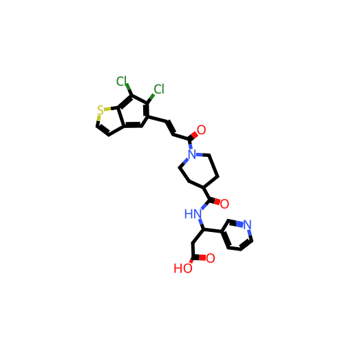 O=C(O)CC(NC(=O)C1CCN(C(=O)C=Cc2cc3ccsc3c(Cl)c2Cl)CC1)c1cccnc1